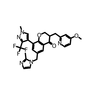 COc1ccnc(CC2COc3c(cc(Cn4ccnc4C)cc3-c3cn(C)nc3C(F)(F)F)C2=O)c1